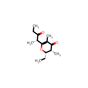 CCC(=O)[C@@H](C)C1=C(C)C(=O)[C@H](C)[C@H](CC)O1